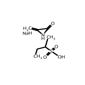 C=C1NC1=O.CCC(C)S(=O)(=O)O.[NaH]